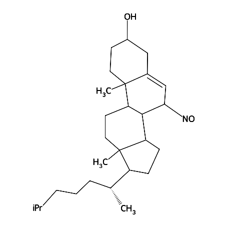 CC(C)CCC[C@@H](C)C1CCC2C3C(N=O)C=C4CC(O)CCC4(C)C3CCC21C